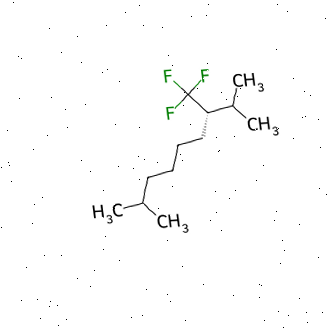 CC(C)CCCC[C@@H](C(C)C)C(F)(F)F